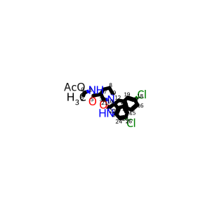 CC(=O)OC(C)NC(=O)C1CCCN(C2(Cc3cccc(Cl)c3)C(=O)Nc3cc(Cl)ccc32)C1